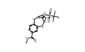 COC(=O)c1ccc2c(c1)CC1CCC(C2)C1=NS(=O)(=O)C(C)(C)C